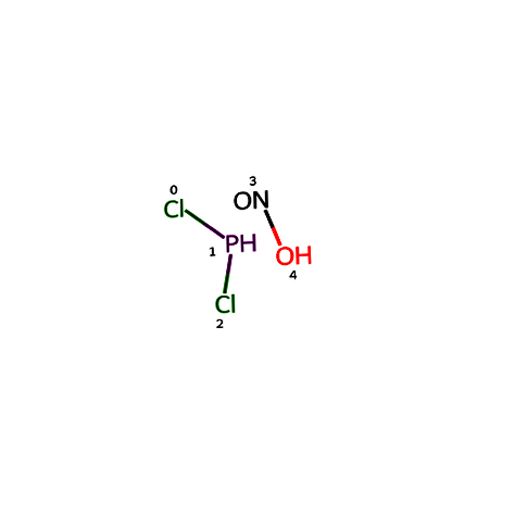 ClPCl.O=NO